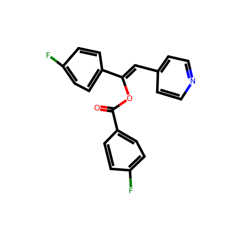 O=C(O/C(=C\c1ccncc1)c1ccc(F)cc1)c1ccc(F)cc1